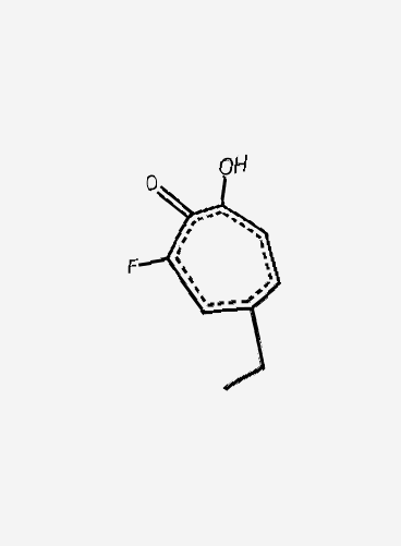 CCc1ccc(O)c(=O)c(F)c1